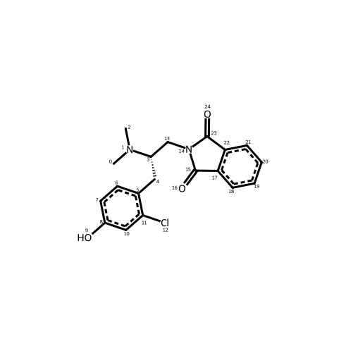 CN(C)[C@@H](Cc1ccc(O)cc1Cl)CN1C(=O)c2ccccc2C1=O